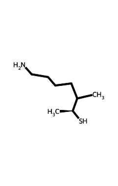 CC(CCCCN)[C@H](C)S